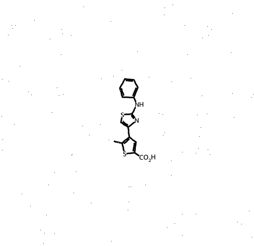 Cc1sc(C(=O)O)cc1-c1csc(Nc2ccccc2)n1